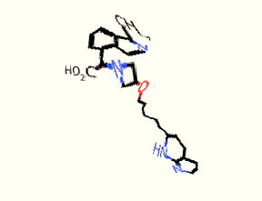 Cc1nccc2c(C(C(=O)O)N3CC(OCCCCCC4CCc5cccnc5N4)C3)cccc12